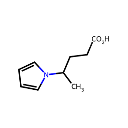 CC(CCC(=O)O)n1cccc1